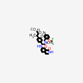 COc1cc(C(Nc2ccc3cc[nH]c(=O)c3c2)C(=O)N(C)Cc2cc([N+](=O)[O-])ccc2OC(F)F)ccc1[C@@H](C)CCC(=O)O